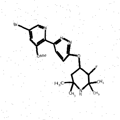 COc1cc(Br)cnc1-c1ccc(OC2CC(C)(C)NC(C)(C)C2F)nn1